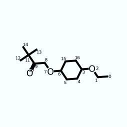 CCOC1CCC(OCC(=O)C(C)(C)C)CC1